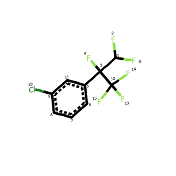 FC(F)C(F)(c1cccc(Cl)c1)C(F)(F)F